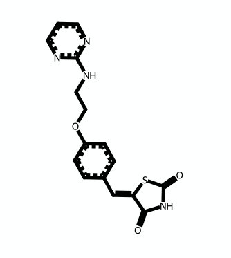 O=C1NC(=O)/C(=C/c2ccc(OCCNc3ncccn3)cc2)S1